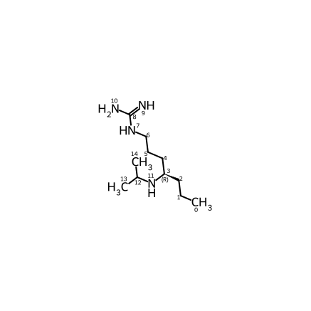 CCC[C@H](CCCNC(=N)N)NC(C)C